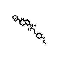 CCSc1ccc(/C=C/C(=O)Nc2ccc3nc(N4CC5CCC4CC5)ccc3c2)cc1